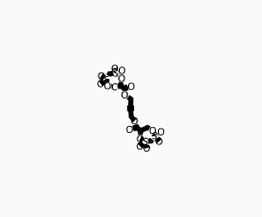 O=C(OCC#CCOC(=O)C1COS(=O)(=O)CS(=O)(=O)O1)C1COS(=O)(=O)CS(=O)(=O)O1